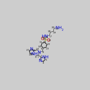 CC(c1ncc[nH]1)N(Cc1ccc(S(=O)(=O)NCCCCN)cc1)Cc1ncc[nH]1